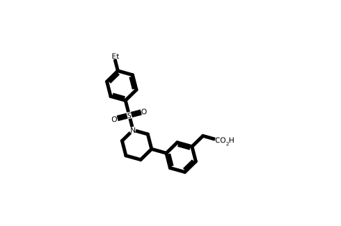 CCc1ccc(S(=O)(=O)N2CCCC(c3cccc(CC(=O)O)c3)C2)cc1